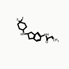 C=CC(=O)Nc1ccc2c(c1)CC(NC1CCC(F)(F)CC1)C2